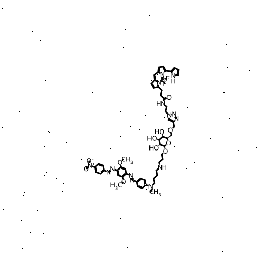 COc1cc(/N=N/c2ccc([N+](=O)[O-])cc2)c(OC)cc1N=Nc1ccc(N(C)CCCCNCCCO[C@@H]2O[C@H](COCc3cn(CCNC(=O)CCC4=[N+]5C(=Cc6ccc(-c7ccc[nH]7)n6[B-]5(F)F)C=C4)nn3)[C@@H](O)[C@H](O)[C@H]2O)cc1